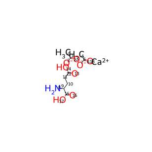 CC(=O)[O-].CC(=O)[O-].N[C@@H](CCC(=O)O)C(=O)O.[Ca+2]